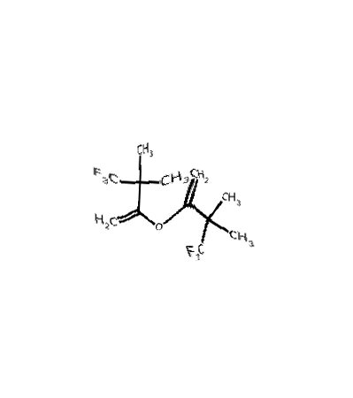 C=C(OC(=C)C(C)(C)C(F)(F)F)C(C)(C)C(F)(F)F